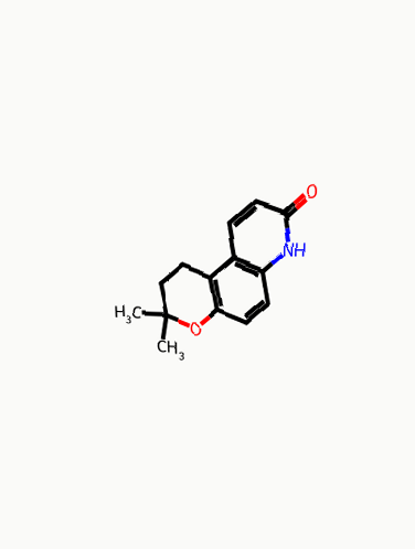 CC1(C)CCc2c(ccc3[nH]c(=O)ccc23)O1